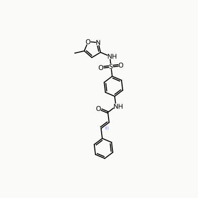 Cc1cc(NS(=O)(=O)c2ccc(NC(=O)/C=C/c3ccccc3)cc2)no1